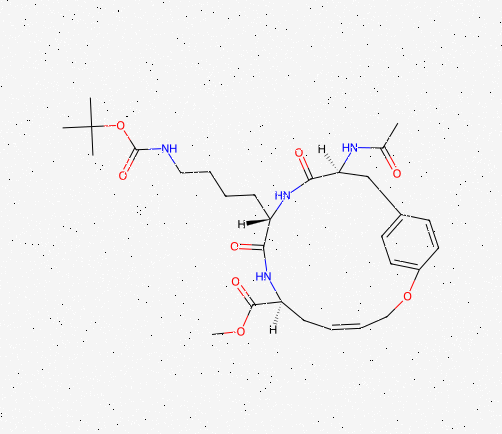 COC(=O)[C@@H]1CC=CCOc2ccc(cc2)C[C@H](NC(C)=O)C(=O)N[C@@H](CCCCNC(=O)OC(C)(C)C)C(=O)N1